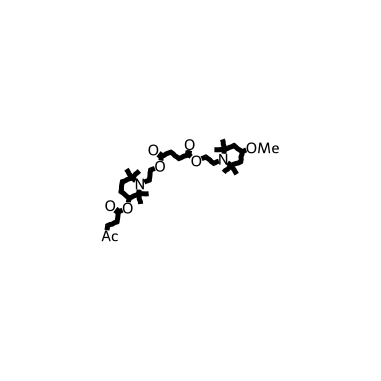 COC1CC(C)(C)N(CCOC(=O)CCC(=O)OCCN2C(C)(C)CCC(OC(=O)CCC(C)=O)C2(C)C)C(C)(C)C1